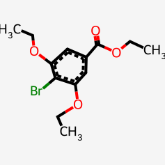 CCOC(=O)c1cc(OCC)c(Br)c(OCC)c1